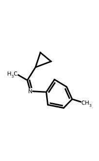 CC(=Nc1ccc(C)cc1)C1CC1